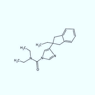 CCN(CC)C(=O)n1cnc(C2(CC)Cc3ccccc3C2)c1